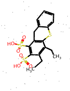 CCc1c(CC)c(S(=O)(=O)O)c(S(=O)(=O)O)c2c1Sc1ccccc1C2